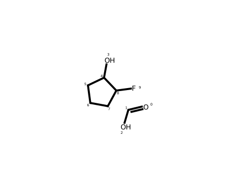 O=CO.OC1CCCC1F